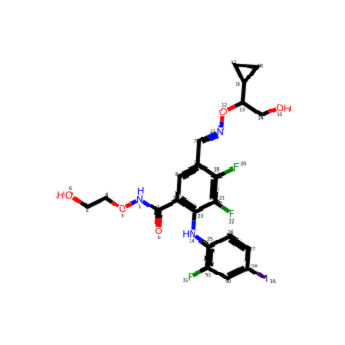 O=C(NOCCO)c1cc(/C=N/OC(CO)C2CC2)c(F)c(F)c1Nc1ccc(I)cc1F